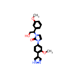 COc1cccc(C(CO)n2ccn(-c3ccc(-c4cn[nH]c4)c(OC)c3)c2=O)c1